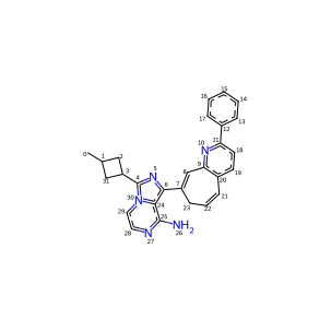 CC1CC(c2nc(C3=Cc4nc(-c5ccccc5)ccc4C=CC3)c3c(N)nccn23)C1